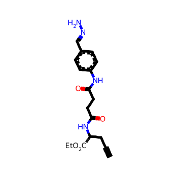 C#CCC(NC(=O)CCC(=O)Nc1ccc(C=NN)cc1)C(=O)OCC